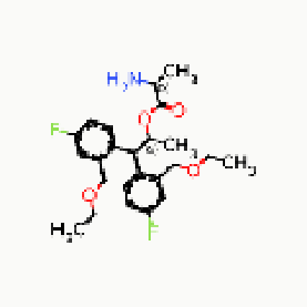 CCOCc1cc(F)ccc1C(c1ccc(F)cc1COCC)[C@H](C)OC(=O)[C@H](C)N